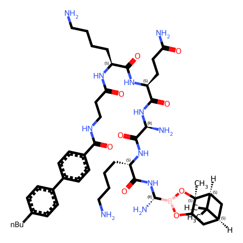 CCCCc1ccc(-c2ccc(C(=O)NCCC(=O)N[C@@H](CCCCN)C(=O)N[C@@H](CCC(N)=O)C(=O)N[C@@H](N)C(=O)N[C@@H](CCCCN)C(=O)N[C@@H](N)B3OC4C[C@@H]5C[C@@H](C5(C)C)[C@]4(C)O3)cc2)cc1